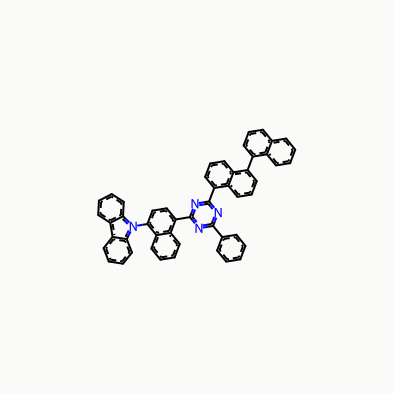 c1ccc(-c2nc(-c3cccc4c(-c5cccc6ccccc56)cccc34)nc(-c3ccc(-n4c5ccccc5c5ccccc54)c4ccccc34)n2)cc1